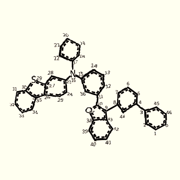 c1ccc(-c2cccc(-c3c(-c4cccc(N(c5ccccc5)c5ccc6c(c5)sc5ccccc56)c4)oc4ccccc34)c2)cc1